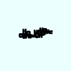 CC(=O)[C@H]1CC[C@H]2[C@@H]3CC[C@@H]4C[C@H](CCOC(=O)C5CCC(=O)N5)CC[C@]4(C)[C@H]3CC[C@]12C